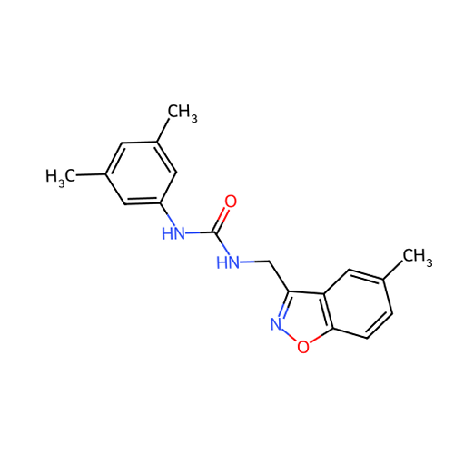 Cc1cc(C)cc(NC(=O)NCc2noc3ccc(C)cc23)c1